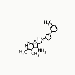 Cc1cccc(N2CCC(NCc3sc4nnc(C)c(C)c4c3N)C2)c1